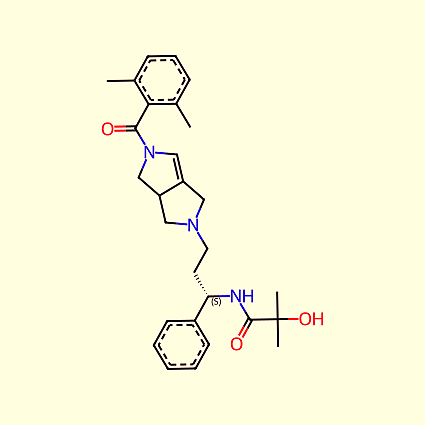 Cc1cccc(C)c1C(=O)N1C=C2CN(CC[C@H](NC(=O)C(C)(C)O)c3ccccc3)CC2C1